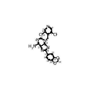 Nc1ncn(Cc2c(Cl)cncc2Cl)c2nc(-c3ccc4c(c3)OCO4)nc1-2